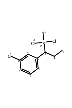 CCC(c1cccc(Cl)c1)[Si](C)(Cl)Cl